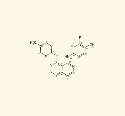 CN1CCC(Oc2cccc3ncnc(Nc4ccc(O)c(F)c4)c23)CC1